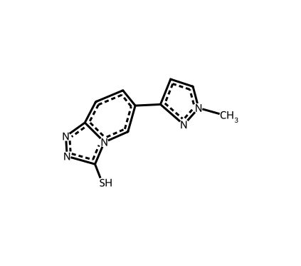 Cn1ccc(-c2ccc3nnc(S)n3c2)n1